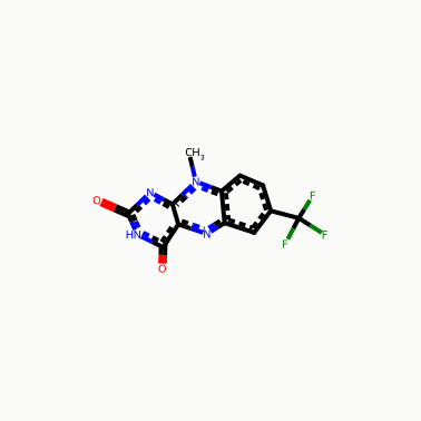 Cn1c2nc(=O)[nH]c(=O)c-2nc2cc(C(F)(F)F)ccc21